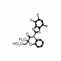 CC1(CC(=O)O)Oc2ccccc2N(c2nc3c(F)c(F)cc(F)c3s2)C1=O